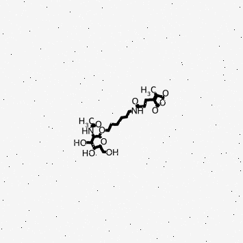 CC(=O)NC1C(OCCCCCCNC(=O)CCC2=C(C)C(=O)OC2=O)OC(CO)C(O)C1O